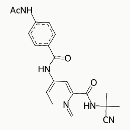 C=N/C(=C\C(=C/C)NC(=O)c1ccc(NC(C)=O)cc1)C(=O)NC(C)(C)C#N